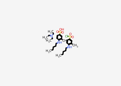 CCCCCNc1ccc(S(=O)(=O)Cl)cc1C.CCCCCNc1ccc(S(=O)(=O)O)cc1C.CCN(CC)CC